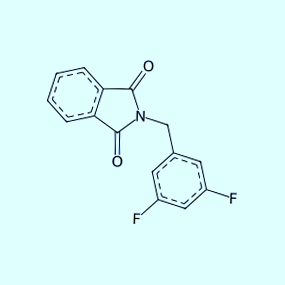 O=C1c2ccccc2C(=O)N1Cc1cc(F)cc(F)c1